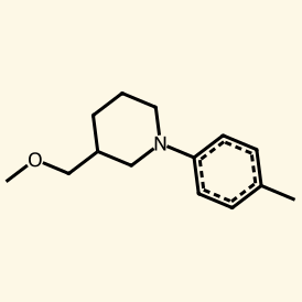 COCC1CCCN(c2ccc(C)cc2)C1